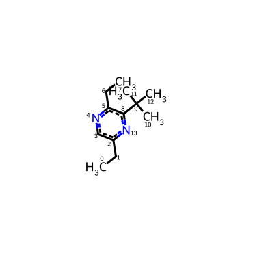 CCc1cnc(CC)c(C(C)(C)C)n1